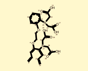 C=C/C=C(OCCOc1ccccc1N(CC(=O)O)CC(=O)O)\C(=C/C=C)N(CC(=O)O)CC(=O)O